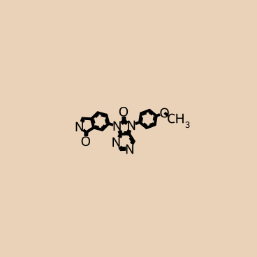 COc1ccc(-n2c(=O)n(-c3ccc4c(c3)C(=O)N=C4)c3ncncc32)cc1